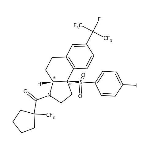 O=C(N1CC[C@@]2(S(=O)(=O)c3ccc(I)cc3)c3ccc(C(F)(C(F)(F)F)C(F)(F)F)cc3CC[C@@H]12)C1(C(F)(F)F)CCCC1